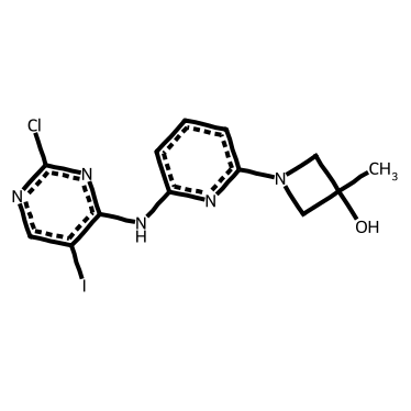 CC1(O)CN(c2cccc(Nc3nc(Cl)ncc3I)n2)C1